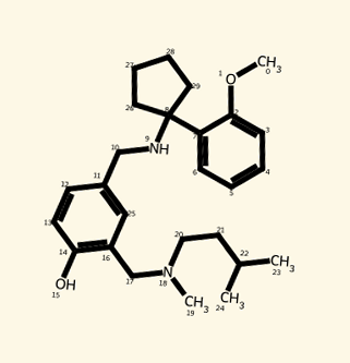 COc1ccccc1C1(NCc2ccc(O)c(CN(C)CCC(C)C)c2)CCCC1